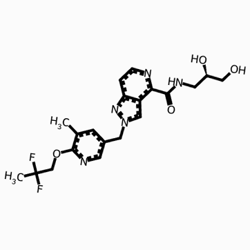 Cc1cc(Cn2cc3c(C(=O)NC[C@@H](O)CO)nccc3n2)cnc1OCC(C)(F)F